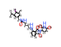 Cc1cc(CNC(=O)CCCCNc2cccc3c2C(=O)N(C2CCC(=O)NC2=O)C3=O)cc(C(C)C)c1I